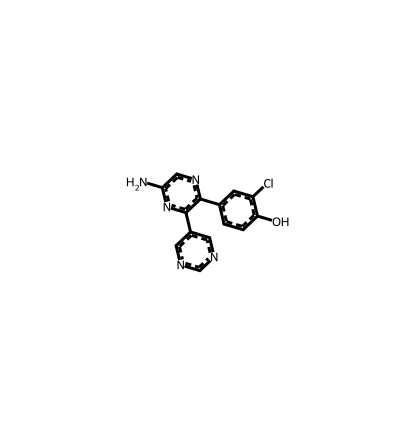 Nc1cnc(-c2ccc(O)c(Cl)c2)c(-c2cncnc2)n1